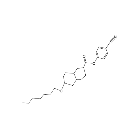 CCCCCCCOC1CCC2CC(C(=O)Oc3ccc(C#N)cc3)CCC2C1